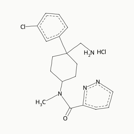 CN(C(=O)c1cccnn1)C1CCC(CN)(c2cccc(Cl)c2)CC1.Cl